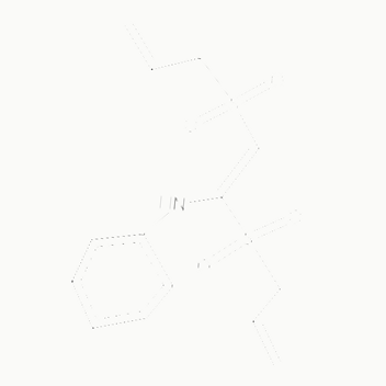 C=CCS(=O)(=O)C=C(Nc1ccccc1)S(=O)(=O)CC=C